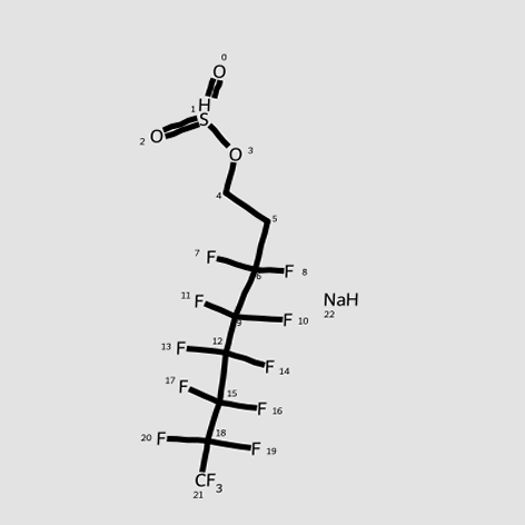 O=[SH](=O)OCCC(F)(F)C(F)(F)C(F)(F)C(F)(F)C(F)(F)C(F)(F)F.[NaH]